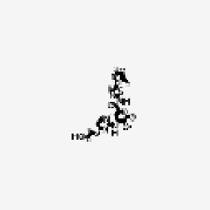 COc1c(Nc2nccc(OCCO)n2)cc(C(=O)Nc2nnc(-n3nccc3C)s2)oc1=O